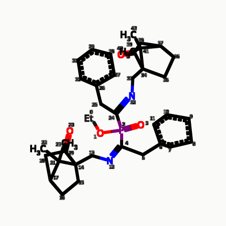 CCOP(=O)(C(Cc1ccccc1)=NCC12CCC(CC1=O)C2(C)C)C(Cc1ccccc1)=NCC12CCC(CC1=O)C2(C)C